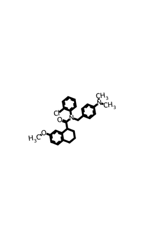 COc1ccc2c(c1)C(C(=O)N(Cc1ccc(N(C)C)cc1)c1ccccc1Cl)CCC2